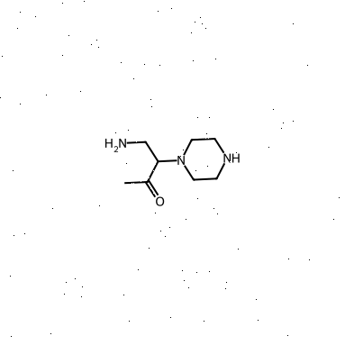 CC(=O)C(CN)N1CCNCC1